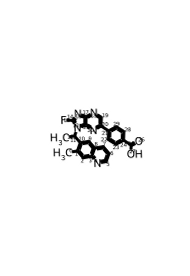 Cc1cc2ncccc2cc1C(C)n1c(F)nc2ncc(-c3ccc(C(=O)O)cc3)nc21